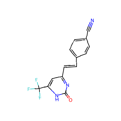 N#Cc1ccc(C=Cc2cc(C(F)(F)F)[nH]c(=O)n2)cc1